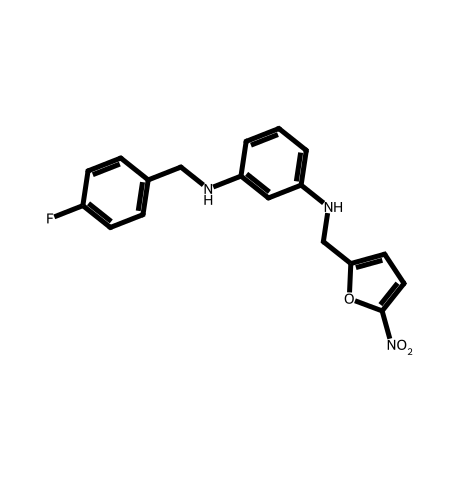 O=[N+]([O-])c1ccc(CNc2cccc(NCc3ccc(F)cc3)c2)o1